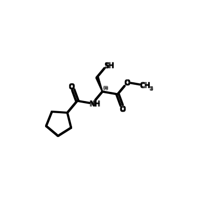 COC(=O)[C@H](CS)NC(=O)C1CCCC1